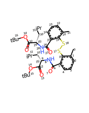 Cc1cccc(C(=O)N[C@@H](CC(C)C)C(=O)OC(C)(C)C)c1SSc1c(C)cccc1C(=O)N[C@@H](CC(C)C)C(=O)OC(C)(C)C